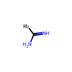 N=[C](N)[Rb]